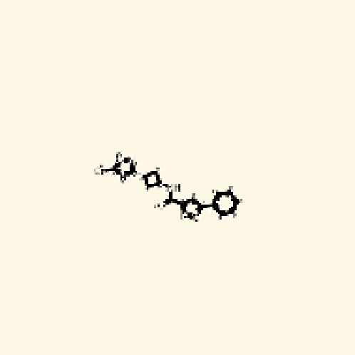 CCc1nc([C@H]2C[C@H](NC(=O)c3cc(-c4ccccc4)on3)C2)no1